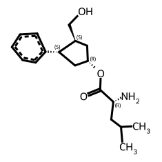 CC(C)C[C@@H](N)C(=O)O[C@H]1C[C@H](CO)[C@@H](c2ccccc2)C1